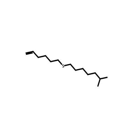 C=CCCCCSCCCCCC(C)C